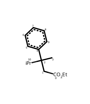 CCOC(=O)CC(C)(c1ccccc1)C(C)C